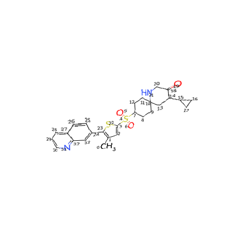 Cc1cc(S(=O)(=O)C2CCC3(CC2)CC(C2CC2)C(=O)CN3)sc1-c1ccc2cccnc2c1